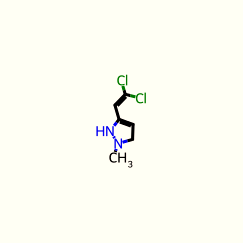 CN1CC=C(C=C(Cl)Cl)N1